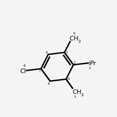 CC1=C(C(C)C)C(C)CC(Cl)=C1